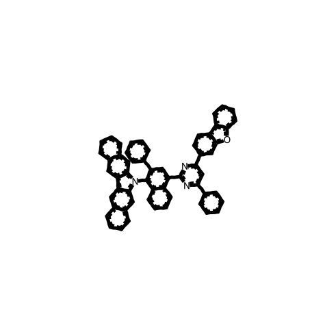 c1ccc(-c2cc(-c3ccc4c(c3)oc3ccccc34)nc(-c3cc(-c4ccccc4)c(-n4c5cc6ccccc6cc5c5cc6ccccc6cc54)c4ccccc34)n2)cc1